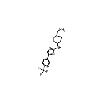 NCC1CCC(Nc2nc(-c3ccc(C(F)(F)F)nc3)cs2)CC1